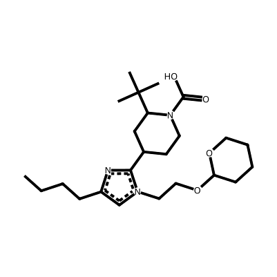 CCCCc1cn(CCOC2CCCCO2)c(C2CCN(C(=O)O)C(C(C)(C)C)C2)n1